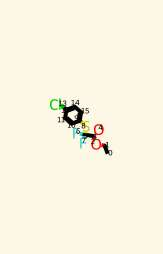 CCOC(=O)C(F)(F)Sc1ccc(Cl)cc1